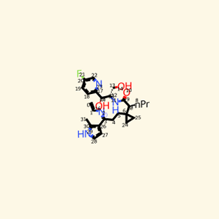 C=C/N=C(/CCC1([C@H](CCC)C(=O)N[C@@H](CO)[C@H](O)c2ccc(F)cn2)CC1)c1cc[nH]c1C